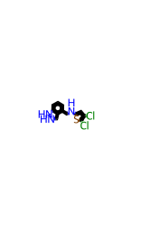 Clc1cc(NCc2cccc3c2CNN3)sc1Cl